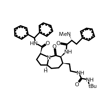 CN[C@H](Cc1ccccc1)C(=O)N[C@@H]1C(=O)N2[C@@H](CC[C@@H]1CCNC(=O)NC(C)(C)C)CC[C@H]2C(=O)NC(c1ccccc1)c1ccccc1